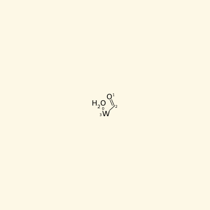 O.O=[CH][W]